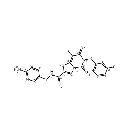 Cc1c(=O)n(Cc2cccc(F)c2)c(=O)n2cc(C(=O)NCc3ccc(N)nc3)sc12